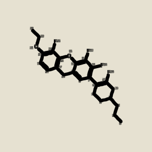 CCCC1CCC(c2cc3c(c(F)c2F)Oc2c(ccc(OCC)c2F)C3)=C(F)C1